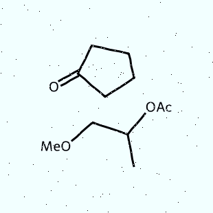 COCC(C)OC(C)=O.O=C1CCCC1